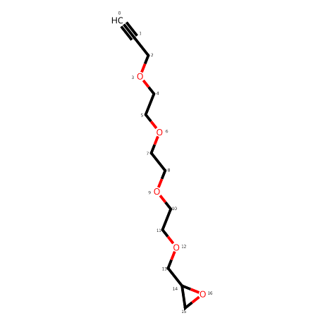 C#CCOCCOCCOCCOCC1CO1